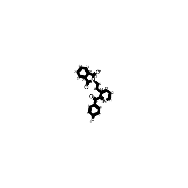 O=C(c1ccc(F)cc1)c1ncccc1CCN1C(=O)c2ccccc2C1=O